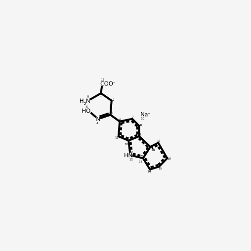 NC(CC(=NO)c1ccc2c(c1)[nH]c1ccccc12)C(=O)[O-].[Na+]